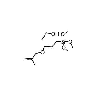 C=C(C)COCCC[Si](OC)(OC)OC.CCO